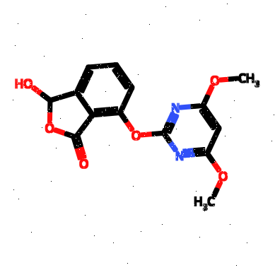 COc1cc(OC)nc(Oc2cccc3c2C(=O)OC3O)n1